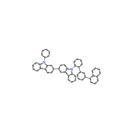 c1ccc(-n2c3ccccc3c3ccc(-c4ccc5c(c4)c4ccccc4n5-c4ccccc4-c4cccc(-c5cccc6ccccc56)c4)cc32)cc1